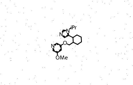 COc1cncc(OCC2CCCCC2c2cncn2C(C)C)c1